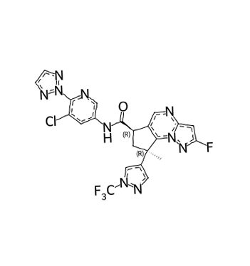 C[C@]1(c2cnn(C(F)(F)F)c2)C[C@@H](C(=O)Nc2cnc(-n3nccn3)c(Cl)c2)c2cnc3cc(F)nn3c21